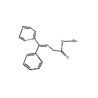 CCCCOC(=O)CN=C(c1ccccc1)c1ccccc1